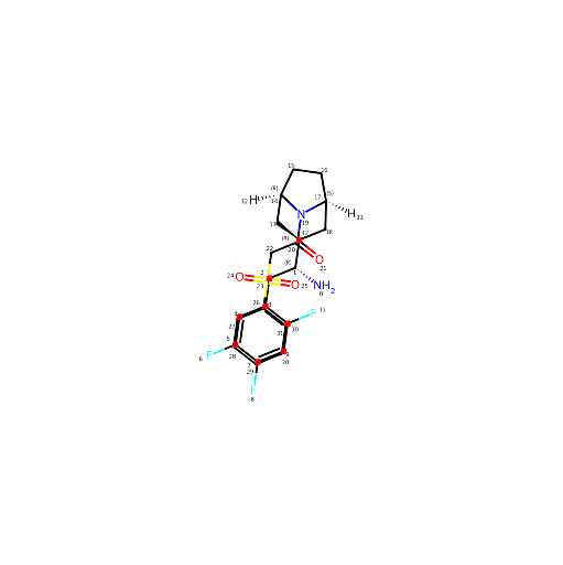 N[C@H](Cc1cc(F)c(F)cc1F)[C@H]1C[C@H]2CC[C@@H](C1)N2C(=O)CS(=O)(=O)C1CCCCC1